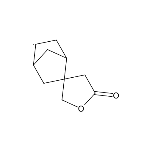 O=C1CC2(CO1)CC1[CH]CC2C1